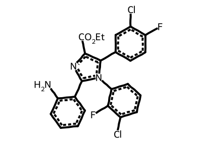 CCOC(=O)c1nc(-c2ccccc2N)n(-c2cccc(Cl)c2F)c1-c1ccc(F)c(Cl)c1